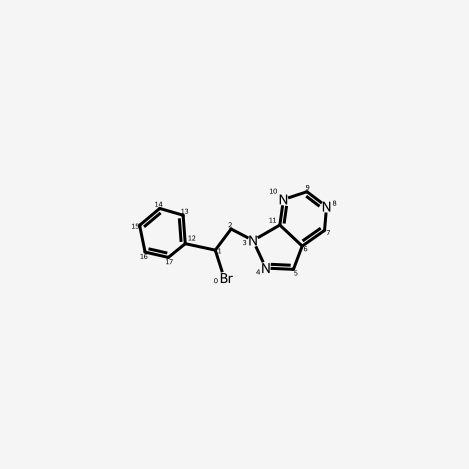 BrC(Cn1ncc2cncnc21)c1ccccc1